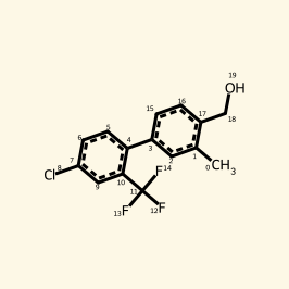 Cc1cc(-c2ccc(Cl)cc2C(F)(F)F)ccc1CO